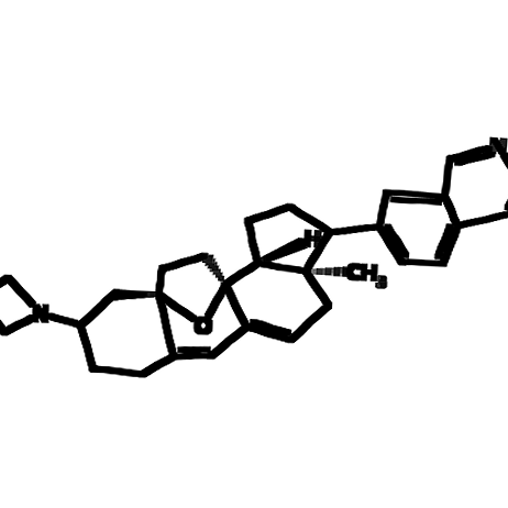 C[C@]12CC=C3C=C4CCC(N5CCC5)C[C@]45CC[C@]3(O5)[C@@H]1CCC2c1ccc2ccncc2c1